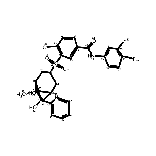 C[C@H]1CC2CC(S(=O)(=O)c3cc(C(=O)Nc4ccc(F)c(F)c4)ccc3Cl)CC1[C@@]2(O)[C@H](O)c1ccccn1